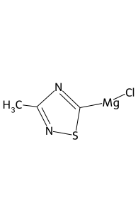 Cc1ns[c]([Mg][Cl])n1